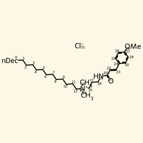 CCCCCCCCCCCCCCCCCCCCCC[N+](C)(C)CCCNC(=O)/C=C/c1ccc(OC)cc1.[Cl-]